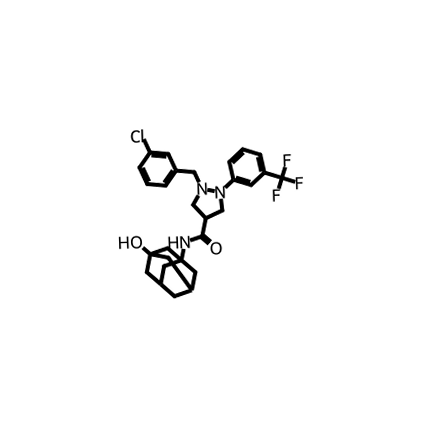 O=C(NC12CC3CC(CC(O)(C3)C1)C2)C1CN(Cc2cccc(Cl)c2)N(c2cccc(C(F)(F)F)c2)C1